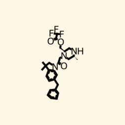 C[C@@H]1CN(CC(=O)N2CC(C)(C)c3ccc(Cc4ccccc4)cc32)[C@@H](COC(=O)C(F)(F)F)CN1